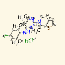 Cc1cc(F)ccc1Nc1nc(N2CCc3ccsc3C2C)nc(C)c1C.Cl